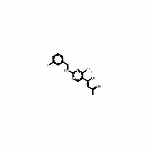 CC(=N)/C=C(\O)c1cnc(NCc2cccc(F)c2)nc1C(F)(F)F